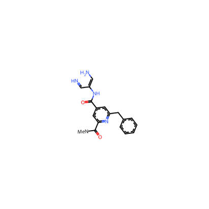 CNC(=O)c1cc(C(=O)N/C(C=N)=C/N)cc(Cc2ccccc2)n1